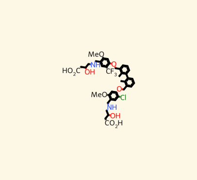 COc1cc(OCc2cccc(-c3cccc(COc4cc(OC)c(CNCC(O)CC(=O)O)cc4C(F)(F)F)c3C)c2C)c(Cl)cc1CNCC(O)CC(=O)O